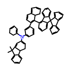 CC1(C)C2=CC(N(C3=CC=CCC3)c3cccc(C4=C(c5cccc6c5-c5ccccc5C65c6ccccc6-c6ccccc65)C5CC=CC=C5C=C4)c3)=CCC2c2ccccc21